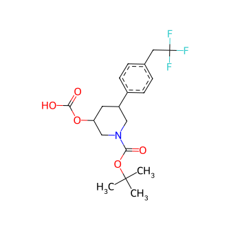 CC(C)(C)OC(=O)N1CC(OC(=O)O)CC(c2ccc(CC(F)(F)F)cc2)C1